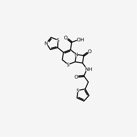 O=C(Cc1cccs1)NC1C(=O)N2C(C(=O)O)=C(c3cncs3)CSC12